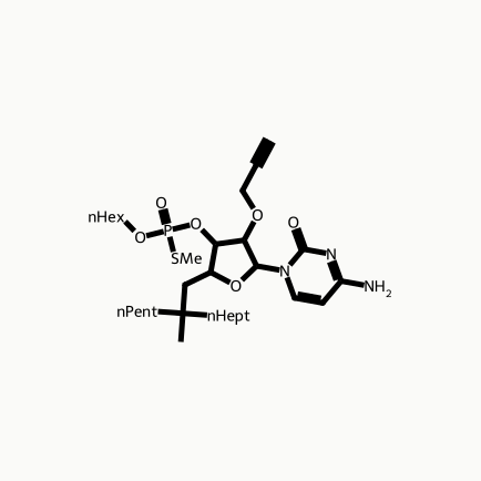 C#CCOC1C(OP(=O)(OCCCCCC)SC)C(CC(C)(CCCCC)CCCCCCC)OC1n1ccc(N)nc1=O